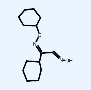 ON=CC(=NOC1CCCCC1)C1CCCCC1